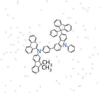 CC1(C)c2ccccc2-c2ccc(N(c3ccc(-c4ccc5c(c4)c4cc(C6(c7ccccc7)c7ccccc7-c7ccccc76)ccc4n5-c4ccccc4)cc3)c3cc4ccccc4c4ccccc34)cc21